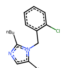 CCCCc1ncc(C(C)=O)n1Cc1ccccc1Cl